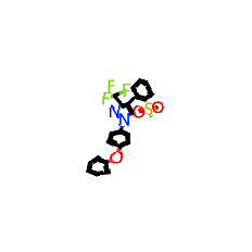 CS(=O)(=O)c1ccccc1-c1cn(-c2ccc(Oc3ccccc3)cc2)nc1C(F)(F)F